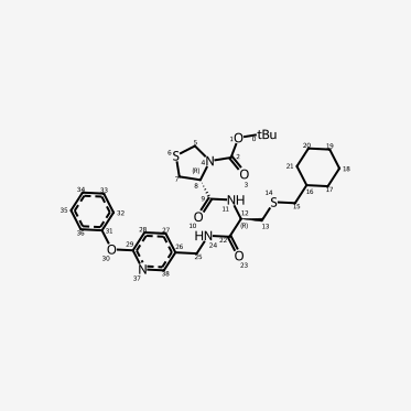 CC(C)(C)OC(=O)N1CSC[C@H]1C(=O)N[C@@H](CSCC1CCCCC1)C(=O)NCc1ccc(Oc2ccccc2)nc1